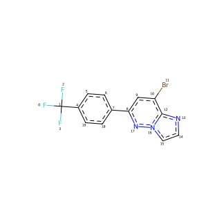 FC(F)(F)c1ccc(-c2cc(Br)c3nccn3n2)cc1